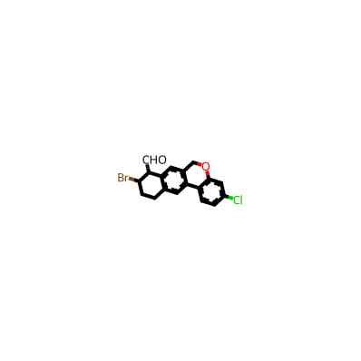 O=CC1c2cc3c(cc2CCC1Br)-c1ccc(Cl)cc1OC3